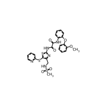 COc1ccccc1Oc1ccccc1NC(=O)C(=O)Nc1nc(CNS(C)(=O)=O)c(Sc2ccccn2)s1